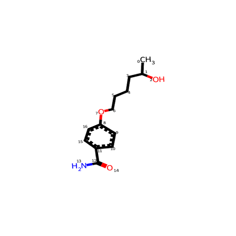 CC(O)CCCCOc1ccc(C(N)=O)cc1